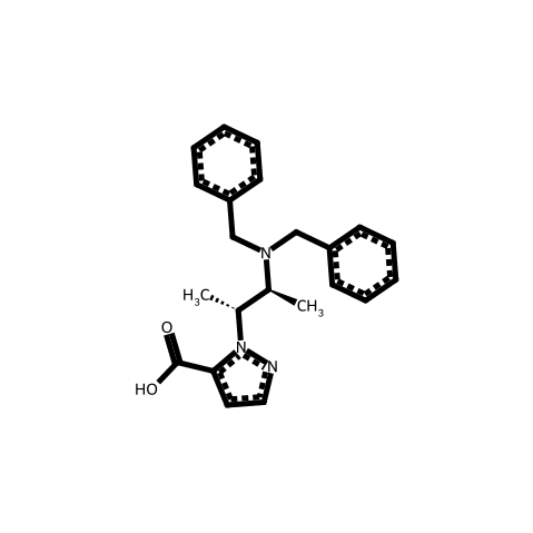 C[C@H]([C@H](C)N(Cc1ccccc1)Cc1ccccc1)n1nccc1C(=O)O